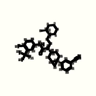 C[C@H]1CCCCN1CCN(C(=O)Nc1ccc(F)c(C(F)(F)F)c1)[C@@H]1CC[C@@]2(c3cccc(C#N)c3)CC2C1